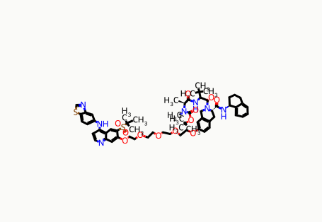 C[C@@H](C(=O)NC(C(=O)N1Cc2cc(OCCOCCOCCOCCOc3cc4nccc(Nc5ccc6scnc6c5)c4cc3S(=O)(=O)C(C)(C)C)ccc2C[C@H]1C(=O)N[C@H]1CCCc2ccccc21)C(C)(C)C)N(C)C(=O)OC(C)(C)C